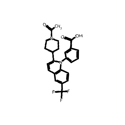 CC(=O)N1CCC(C2=C=Cc3cc(C(F)(F)F)ccc3N2c2cccc(C(=O)O)c2)CC1